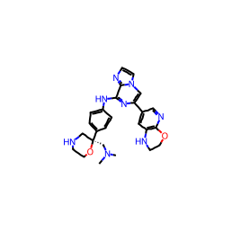 CN(C)C[C@@]1(c2ccc(Nc3nc(-c4cnc5c(c4)NCCO5)cn4ccnc34)cc2)CNCCO1